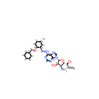 CNC(=O)[C@H]1O[C@@H](n2cnc3c(NCc4cc(F)ccc4OCc4ccccc4)ncnc32)[C@H](O)[C@@H]1N